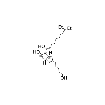 CCC(=CCCCCCC=C(O)[C@@H]1[C@@H]2CC(CCCCCO)=C[C@@H]2C[C@H]1O)CC